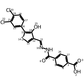 O=C(O)c1ccc(C(=O)N/N=C/c2csc(-c3ccc(Cl)c(Cl)c3)c2O)cc1